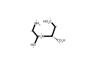 NCCO.N[C@H](CC(=O)O)C(=O)O